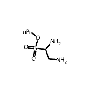 CCCOS(=O)(=O)C(N)CN